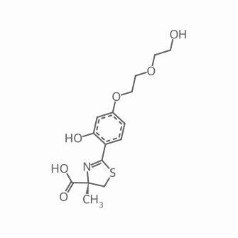 C[C@]1(C(=O)O)CSC(c2ccc(OCCOCCO)cc2O)=N1